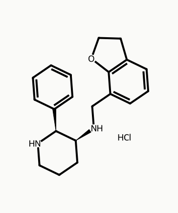 Cl.c1ccc([C@@H]2NCCC[C@@H]2NCc2cccc3c2OCC3)cc1